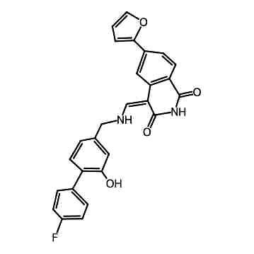 O=C1NC(=O)c2ccc(-c3ccco3)cc2/C1=C/NCc1ccc(-c2ccc(F)cc2)c(O)c1